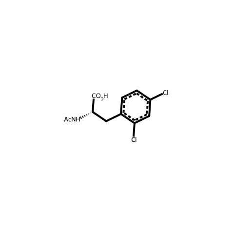 CC(=O)N[C@@H](Cc1ccc(Cl)cc1Cl)C(=O)O